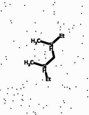 CC[SiH](C)C[SiH](C)CC